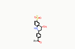 CC(C)C(=O)c1ccc(C2C[C@H](O)c3cc([SH](=O)=O)ccc3N2)cc1